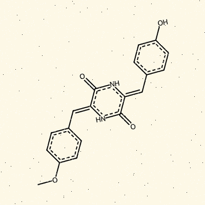 COc1ccc(C=c2[nH]c(=O)c(=Cc3ccc(O)cc3)[nH]c2=O)cc1